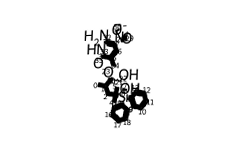 CC(CC(C)(C)[Si](O)(c1ccccc1)c1ccccc1)[C@@H](CO)OCc1cc([N+](=O)[O-])c(N)[nH]c1=O